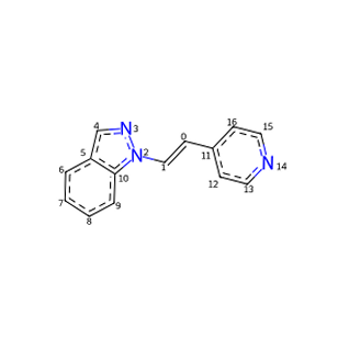 C(=C\n1ncc2ccccc21)/c1ccncc1